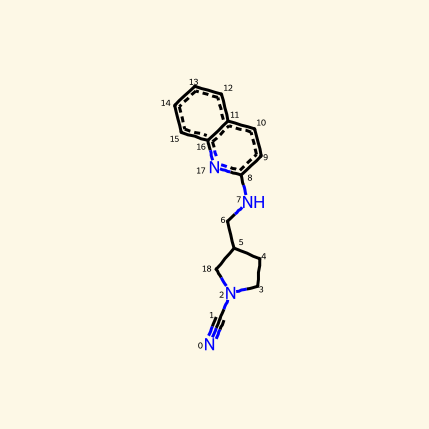 N#CN1CCC(CNc2ccc3ccccc3n2)C1